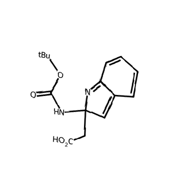 CC(C)(C)OC(=O)NC1(CC(=O)O)C=c2ccccc2=N1